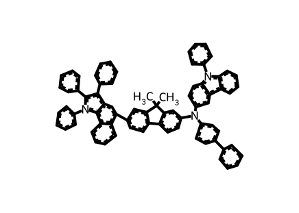 CC1(C)c2cc(-c3cc4c(-c5ccccc5)c(-c5ccccc5)n(-c5ccccc5)c4c4ccccc34)ccc2-c2ccc(N(c3ccc(-c4ccccc4)cc3)c3ccc4c(c3)c3ccccc3n4-c3ccccc3)cc21